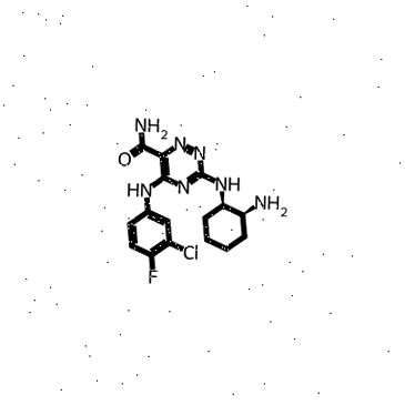 NC(=O)c1nnc(N[C@@H]2CCCC[C@@H]2N)nc1Nc1ccc(F)c(Cl)c1